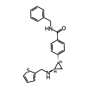 O=C(NCc1ccccc1)c1ccc([C@@H]2C[C@H]2NCc2cccs2)cc1